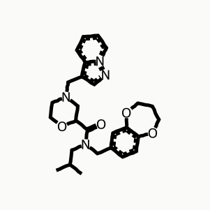 CC(C)CN(Cc1ccc2c(c1)OCCCO2)C(=O)C1CN(Cc2cnn3ccccc23)CCO1